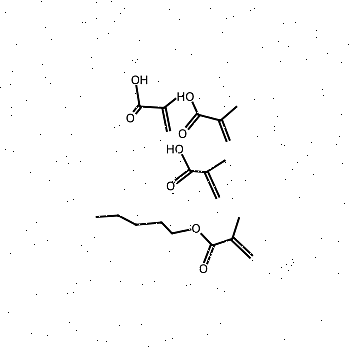 C=C(C)C(=O)O.C=C(C)C(=O)O.C=C(C)C(=O)O.C=C(C)C(=O)OCCCCC